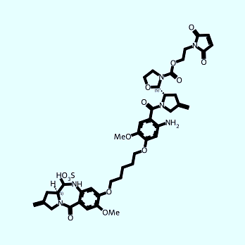 C=C1CC([C@@H]2OCCN2C(=O)OCCN2C(=O)C=CC2=O)N(C(=O)c2cc(OC)c(OCCCCCOc3cc4c(cc3OC)C(=O)N3CC(=C)C[C@H]3C(S(=O)(=O)O)N4)cc2N)C1